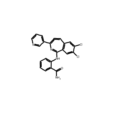 NC(=O)c1ccccc1NC1=NC(c2cccnc2)=C=Cc2cc(Cl)c(Cl)cc21